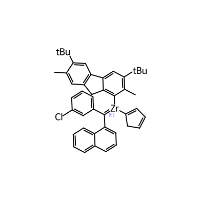 Cc1cc2c(cc1C(C)(C)C)-c1cc(C(C)(C)C)c(C)[c](/[Zr]([C]3=CC=CC3)=[C](\c3cccc(Cl)c3)c3cccc4ccccc34)c1C2